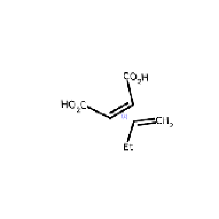 C=CCC.O=C(O)/C=C\C(=O)O